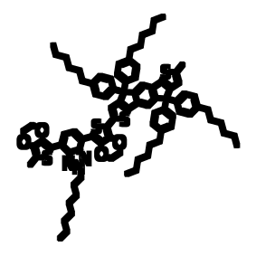 CCCCCCCCn1nc2c(-c3sc(C)c4c3OCCO4)ccc(-c3sc(-c4cc5c(s4)-c4cc6c(cc4C5(c4ccc(CCCCCC)cc4)c4ccc(CCCCCC)cc4)-c4sc(C)cc4C6(c4ccc(CCCCCC)cc4)c4ccc(CCCCCC)cc4)c4c3OCCO4)c2n1